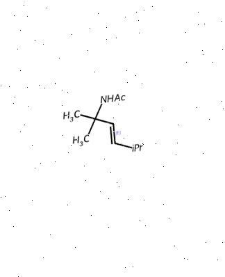 CC(=O)NC(C)(C)/C=C/C(C)C